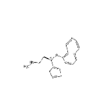 CNCC[C@@H](Oc1cccc2ccncc12)c1cccs1